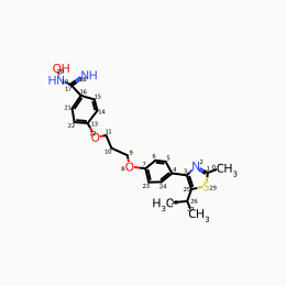 Cc1nc(-c2ccc(OCCCOc3ccc(C(=N)NO)cc3)cc2)c(C(C)C)s1